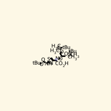 CC(C)(C)OC(=O)Nc1nc(/C(=N/OC(CO[Si](C)(C)C(C)(C)C)CO[Si](C)(C)C(C)(C)C)C(=O)O)cs1